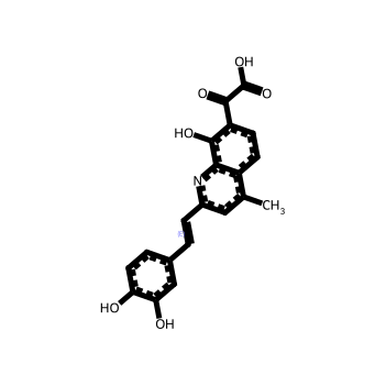 Cc1cc(/C=C/c2ccc(O)c(O)c2)nc2c(O)c(C(=O)C(=O)O)ccc12